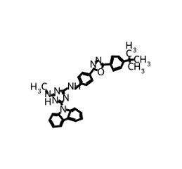 CNc1nc(NCc2ccc(-c3nnc(-c4ccc(C(C)(C)C)cc4)o3)cc2)nc(-n2c3ccccc3c3ccccc32)n1